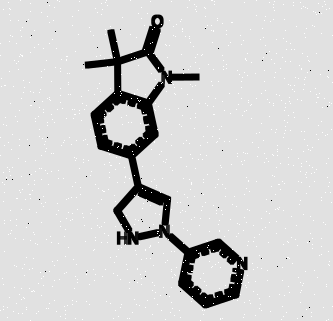 CN1C(=O)C(C)(C)c2ccc(C3=CN(c4cccnc4)NC3)cc21